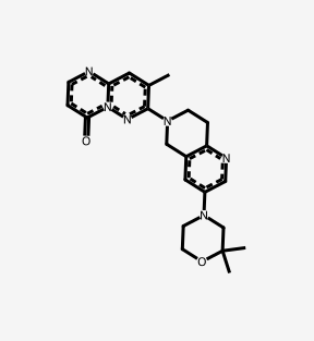 Cc1cc2nccc(=O)n2nc1N1CCc2ncc(N3CCOC(C)(C)C3)cc2C1